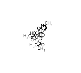 Cc1ccn([C@@H]2O[C@H](COC(=O)C(C)C)[C@@H](OC(=O)C(C)C)[C@@]2(C)F)c(=O)n1